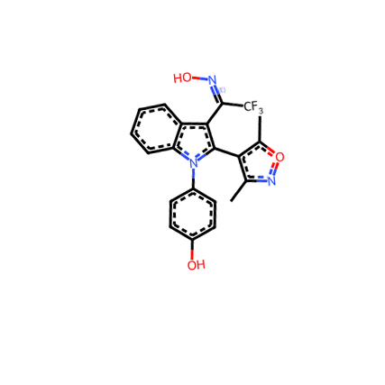 Cc1noc(C)c1-c1c(/C(=N\O)C(F)(F)F)c2ccccc2n1-c1ccc(O)cc1